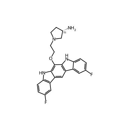 N[C@H]1CCN(CCOc2c3[nH]c4ccc(F)cc4c3cc3c2[nH]c2ccc(F)cc23)C1